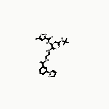 CC1=CC(C(=O)N[C@@H](CC(=O)NC(C)(C)C)C(=O)NCCNC(=O)c2cccc(N3C=CCN3)c2)NO1